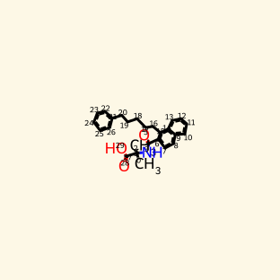 CC(C)(NC(=O)c1ccc2ccccc2c1CCCCCc1ccccc1)C(=O)O